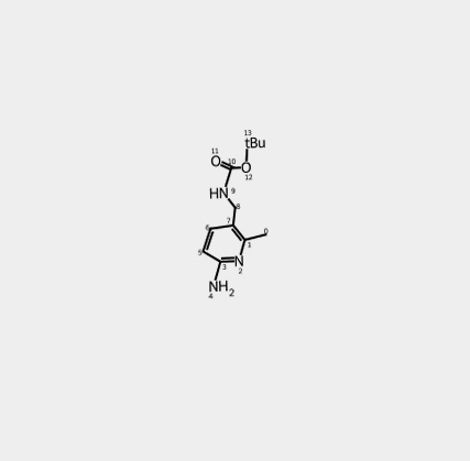 Cc1nc(N)ccc1CNC(=O)OC(C)(C)C